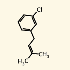 CC(C)=CCc1cccc(Cl)c1